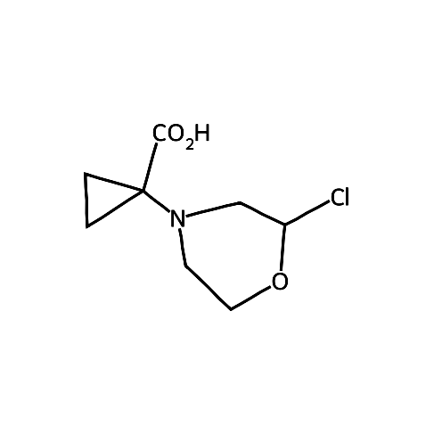 O=C(O)C1(N2CCOC(Cl)C2)CC1